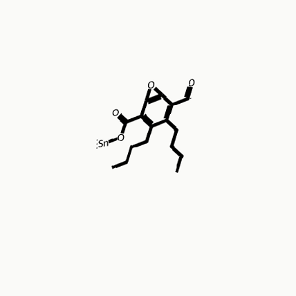 CCCCc1c([C]=O)c2c(c(C(=O)[O][Sn])c1CCCC)O2